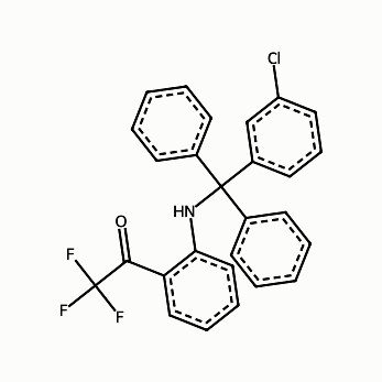 O=C(c1ccccc1NC(c1ccccc1)(c1ccccc1)c1cccc(Cl)c1)C(F)(F)F